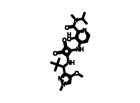 COc1cn(C)nc1C(Nc1c(Nc2ccnc(C(=O)N(C)C(C)C)c2O)c(=O)c1=O)C(C)(C)C